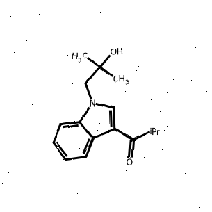 CC(C)C(=O)c1cn(CC(C)(C)O)c2ccccc12